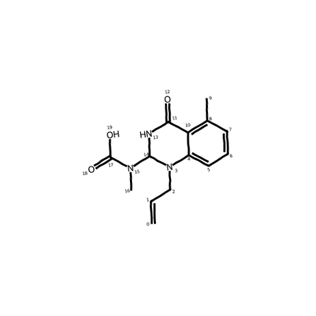 C=CCN1c2cccc(C)c2C(=O)NC1N(C)C(=O)O